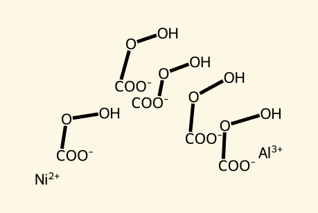 O=C([O-])OO.O=C([O-])OO.O=C([O-])OO.O=C([O-])OO.O=C([O-])OO.[Al+3].[Ni+2]